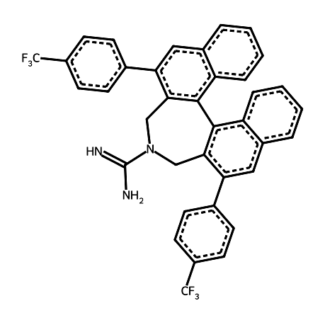 N=C(N)N1Cc2c(-c3ccc(C(F)(F)F)cc3)cc3ccccc3c2-c2c(c(-c3ccc(C(F)(F)F)cc3)cc3ccccc23)C1